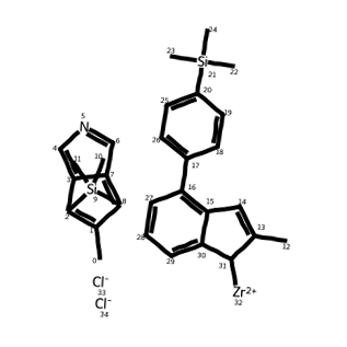 CC1=C2C3=CN=CC3=C1[Si]2(C)C.CC1=Cc2c(-c3ccc([Si](C)(C)C)cc3)cccc2[CH]1[Zr+2].[Cl-].[Cl-]